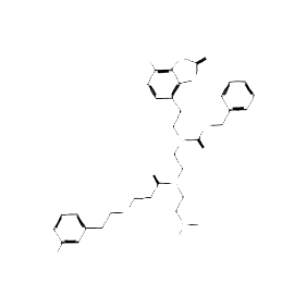 CCN(CC)CCN(CCN(CCc1ccc(O)c2[nH]c(=O)sc12)C(=O)OCc1ccccc1)C(=O)CCOCCc1cccc(F)c1